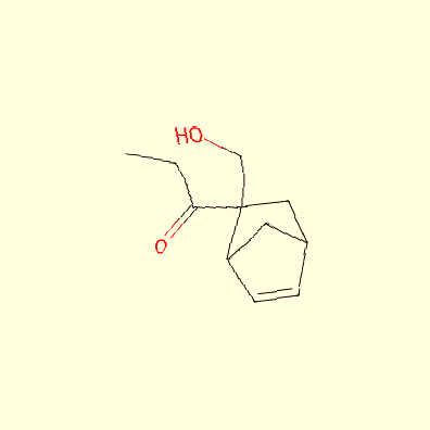 CCC(=O)C1(CO)CC2C=CC1C2